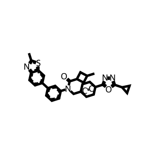 Cc1nc2ccc(-c3cccc(N(CC45CCC(c6nnc(C7CC7)o6)(CC4)CC5)C(=O)C4CC(C)C4)c3)cc2s1